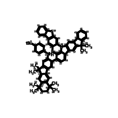 CC(C)(C)c1ccc(Nc2cc3c(cc2-c2ccc4c5cc6c(cc5n5c4c2Bc2cc4c(cc2-5)sc2ccccc24)-c2ccccc2C6(C)C)-c2cc4c(cc2C3(C)C)C(C)(C)CCC4(C)C)cc1